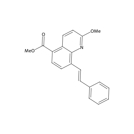 COC(=O)c1ccc(C=Cc2ccccc2)c2nc(OC)ccc12